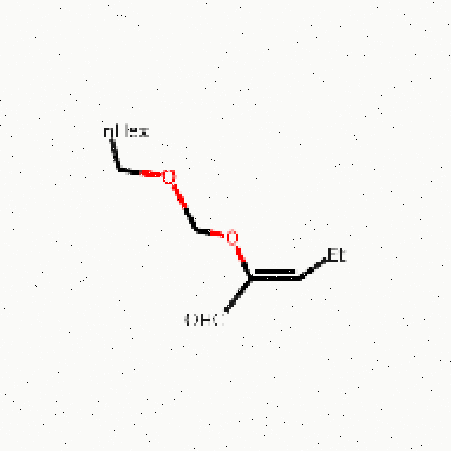 CCC=C(C=O)OCOCCCCCCC